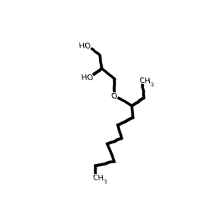 CCCCCCCC(CC)OCC(O)CO